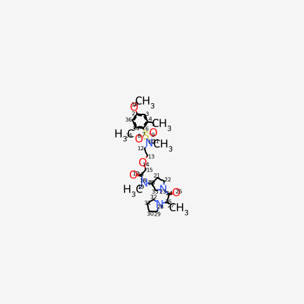 COc1cc(C)c(S(=O)(=O)N(C)CCOCC(=O)N(C)[C@H]2CCN(C(=O)C(C)N3CCCC3)C2)c(C)c1